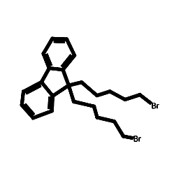 BrCCCCCC1(CCCCCBr)c2ccccc2-c2ccccc21